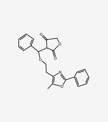 Cc1oc(-c2ccccc2)nc1CCOC(c1ccccc1)N1C(=O)COC1=O